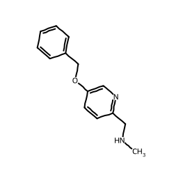 CNCc1ccc(OCc2ccccc2)cn1